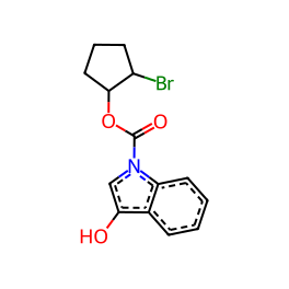 O=C(OC1CCCC1Br)n1cc(O)c2ccccc21